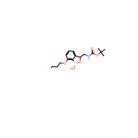 BCCCOc1cccc2c1B(O)OC2CNC(=O)OC(C)(C)C